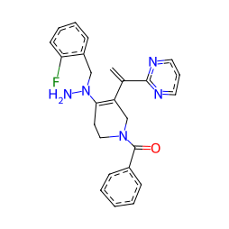 C=C(C1=C(N(N)Cc2ccccc2F)CCN(C(=O)c2ccccc2)C1)c1ncccn1